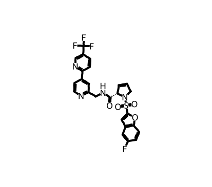 O=C(NCc1cc(-c2ccc(C(F)(F)F)cn2)ccn1)[C@@H]1C=CCN1S(=O)(=O)c1cc2cc(F)ccc2o1